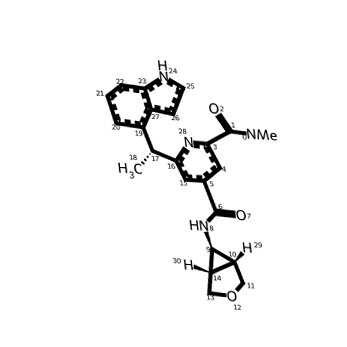 CNC(=O)c1cc(C(=O)N[C@H]2[C@@H]3COC[C@@H]32)cc([C@H](C)c2cccc3[nH]ccc23)n1